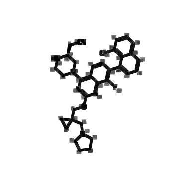 N#CC[C@H]1CN(c2nc(OCC3(CN4CCCC4)CC3)nc3c(F)c(-c4cccc5cccc(Cl)c45)ccc23)CCN1